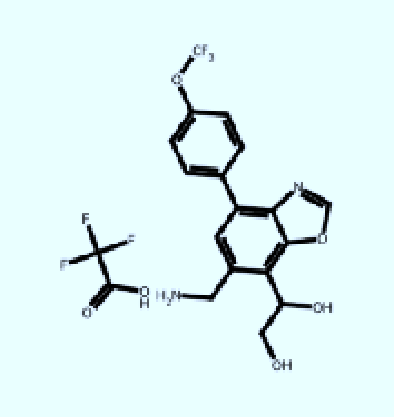 NCc1cc(-c2ccc(OC(F)(F)F)cc2)c2ncoc2c1C(O)CO.O=C(O)C(F)(F)F